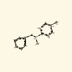 [O-][S+](Cc1ccccc1)c1ncc(Br)cn1